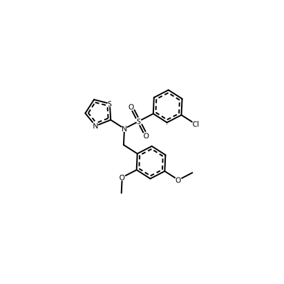 COc1ccc(CN(c2nccs2)S(=O)(=O)c2[c]c(Cl)ccc2)c(OC)c1